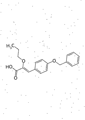 CCCOC(=Cc1ccc(OCc2ccccc2)cc1)C(=O)O